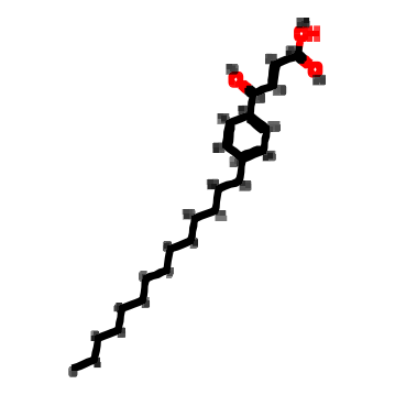 CCCCCCCCCCCCCCc1ccc(C(=O)C=CC(=O)O)cc1